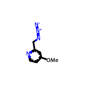 COc1ccnc(CN=[N+]=[N-])c1